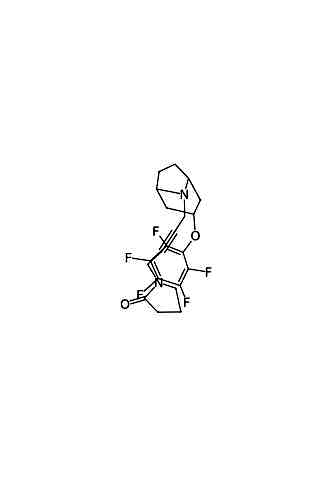 O=C1CCCN1CC#CCN1C2CCC1CC(Oc1c(F)c(F)c(F)c(F)c1F)C2